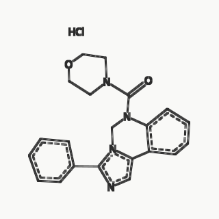 Cl.O=C(N1CCOCC1)N1Cn2c(cnc2-c2ccccc2)-c2ccccc21